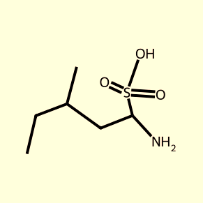 CCC(C)CC(N)S(=O)(=O)O